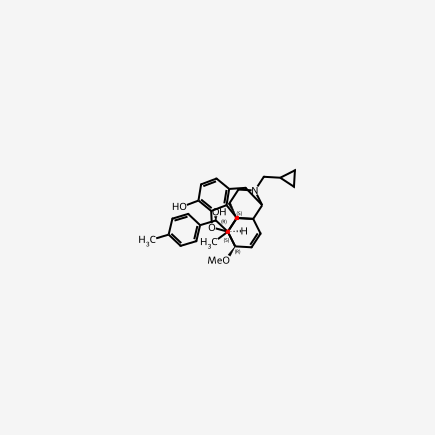 CO[C@]12C=CC3(CC1(C)[C@H](O)c1ccc(C)cc1)C1Cc4ccc(O)c5c4[C@@]3(CCN1CC1CC1)[C@@H]2O5